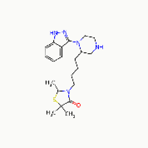 CC1SC(C)(C)C(=O)N1CCCCC1CNCCN1c1n[nH]c2ccccc12